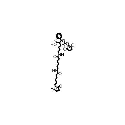 O=C(CCCCCN1C(=O)C=CC1=O)NCCCCCC(=O)NCCCCC(C(=O)O)C(OC(=O)ON1C(=O)CCC1=O)c1ccccc1